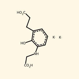 O=C(O)CCc1cccc(NCC(=O)O)c1O.[K].[K]